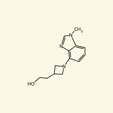 Cn1cnc2c(N3CC(CCO)C3)cccc21